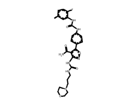 Cc1ccc(F)c(NC(=O)Nc2ccc(-c3snc(NC(=O)NCCCN4CCOCC4)c3C(N)=O)cc2)c1